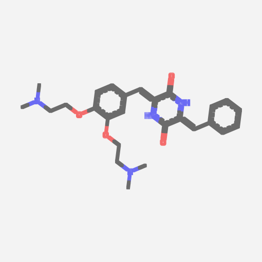 CN(C)CCOc1ccc(/C=c2\[nH]c(=O)/c(=C/c3ccccc3)[nH]c2=O)cc1OCCN(C)C